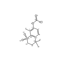 Cc1c(OC(=O)Cl)ccc2c1S(=O)(=O)CCC2(C)C